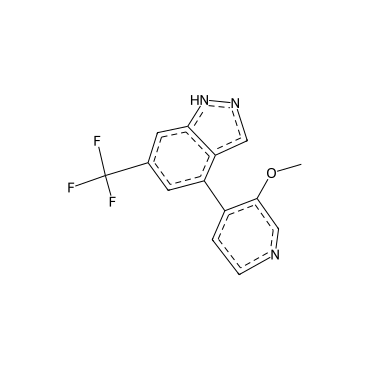 COc1cnccc1-c1cc(C(F)(F)F)cc2[nH]ncc12